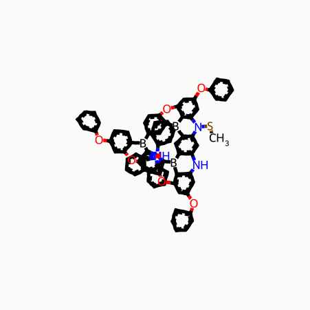 CSN1c2cc3c(cc2B2c4cc(B5c6ccc(Oc7ccccc7)cc6Oc6c5[nH]c5ccccc65)ccc4Oc4cc(Oc5ccccc5)cc1c42)B1c2c(cc(Oc4ccccc4)cc2Oc2c1n(-c1ccccc1)c1ccccc21)N3